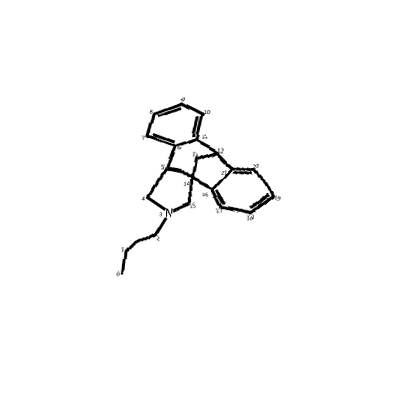 CCCN1CC2c3ccccc3C3CC2(C1)c1ccccc13